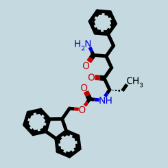 CC[C@H](NC(=O)OCC1c2ccccc2-c2ccccc21)C(=O)CC(Cc1ccccc1)C(N)=O